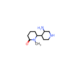 CN1C(=O)CCCC1C1CCNCC1N